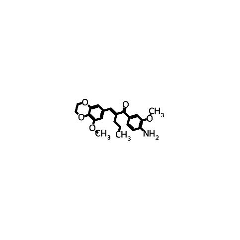 CCC/C(=C\c1cc(OC)c2c(c1)OCCO2)C(=O)c1ccc(N)c(OC)c1